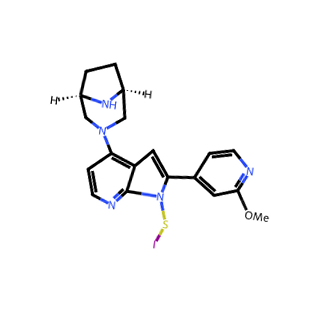 COc1cc(-c2cc3c(N4C[C@H]5CC[C@@H](C4)N5)ccnc3n2SI)ccn1